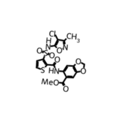 COC(=O)c1cc2c(cc1NC(=O)c1sccc1S(=O)(=O)Nc1onc(C)c1Cl)OCO2